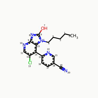 CCCCCn1c(O)nc2ncc(Cl)c(-c3ccc(C#N)cn3)c21